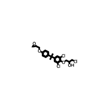 CC(C)(c1ccc(OCC2CO2)cc1)c1cc(Cl)c(OCC(O)CCl)c(Cl)c1